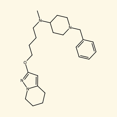 CN(CCCCOc1cc2n(n1)CCCC2)C1CCN(Cc2ccccc2)CC1